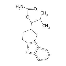 CC(C)C(OC(N)=O)C1CCc2cc3ccccc3n2C1